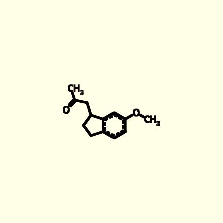 COc1ccc2c(c1)C(CC(C)=O)CC2